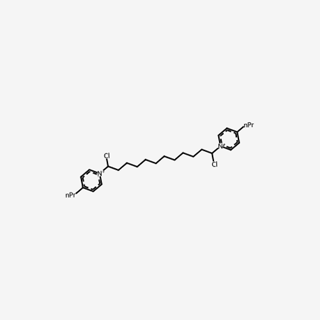 CCCc1cc[n+](C(Cl)CCCCCCCCCCC(Cl)[n+]2ccc(CCC)cc2)cc1